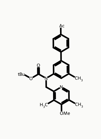 COc1c(C)cnc(CN(C(=O)OC(C)(C)C)c2cc(C)cc(-c3ccc(C(C)=O)cc3)c2)c1C